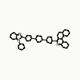 c1ccc(-n2c(-c3ccc(-c4ccc(-c5ccc(-c6nc7ccccc7c7c6ccc6ccccc67)cc5)cc4)cc3)nc3ccccc32)cc1